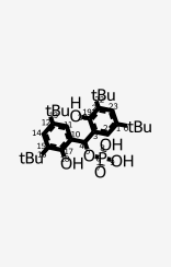 CC(C)(C)c1cc(C(OP(=O)(O)O)c2cc(C(C)(C)C)cc(C(C)(C)C)c2O)c(O)c(C(C)(C)C)c1